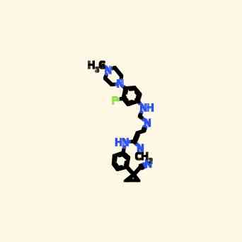 C=N/C(=C\C=N/CNc1ccc(N2CCN(C)CC2)c(F)c1)Nc1cccc(C2(C#N)CC2)c1